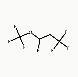 FC(CC(F)(F)F)OC(F)(F)F